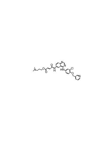 CN(C)CCCOC(=O)C=CC(=O)Nc1ccc2ncnc(Nc3ccc(OCc4cccnc4)c(Cl)c3)c2c1